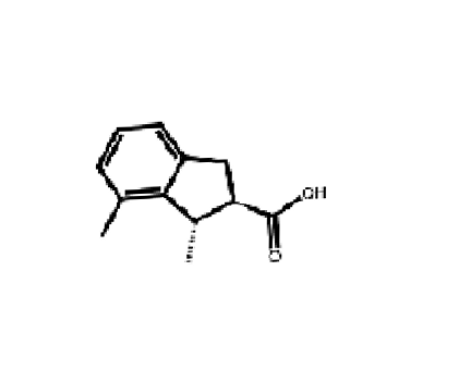 Cc1cccc2c1[C@@H](C)[C@H](C(=O)O)C2